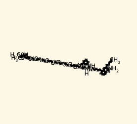 CCCCCc1cc2c(CCCCC/N=C(/NCCOCCOCCOCCOCCOCCOCCOCCOCCOCCOCCC(=O)OC(C)(C)C)Nc3cccc(C#N)c3)cccc2nc1N